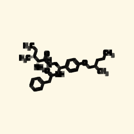 CCCC(C)COc1ccc([C@H](CNC(=O)[C@H](N)[C@H](C)CC)NC(=O)Cc2ccccc2)cc1